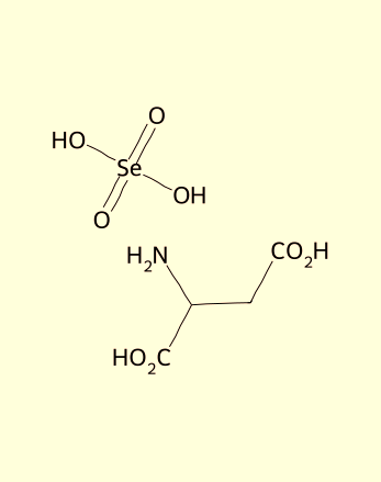 NC(CC(=O)O)C(=O)O.O=[Se](=O)(O)O